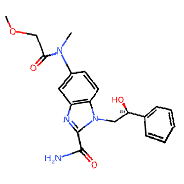 COCC(=O)N(C)c1ccc2c(c1)nc(C(N)=O)n2C[C@@H](O)c1ccccc1